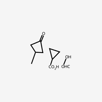 CC1CC(=O)C1.O=C(O)C1CC1.O=CO